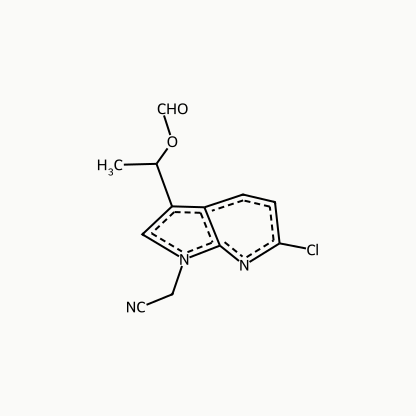 CC(OC=O)c1cn(CC#N)c2nc(Cl)ccc12